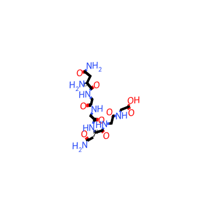 NC(=O)C[C@H](NC(=O)CNC(=O)CNC(=O)[C@@H](N)CC(N)=O)C(=O)NCC(=O)NCC(=O)O